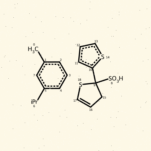 Cc1cccc(C(C)C)c1.O=S(=O)(O)C1(c2cccs2)CC=CS1